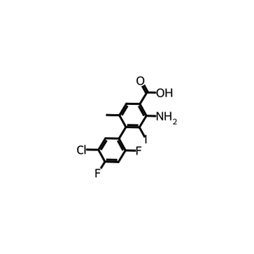 Cc1cc(C(=O)O)c(N)c(I)c1-c1cc(Cl)c(F)cc1F